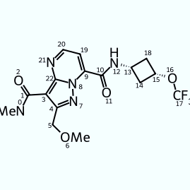 CNC(=O)c1c(COC)nn2c(C(=O)N[C@H]3C[C@@H](OC(F)(F)F)C3)ccnc12